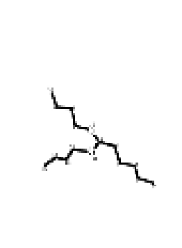 CCCCCC(OCCCC)OCCCC